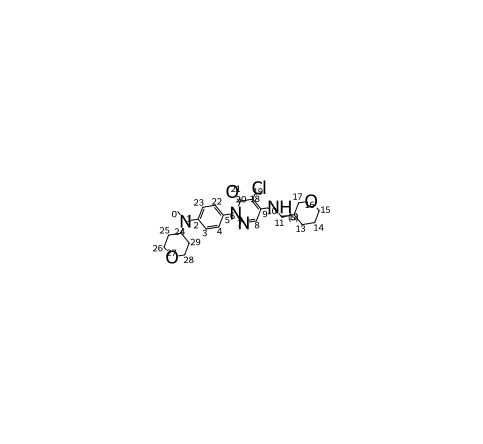 CN(c1ccc(-n2ncc(NC[C@@H]3CCCOC3)c(Cl)c2=O)cc1)C1CCOCC1